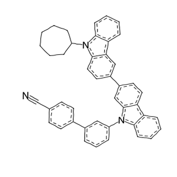 N#Cc1ccc(-c2cccc(-n3c4ccccc4c4ccc(-c5ccc6c(c5)c5ccccc5n6C5CCCCCC5)cc43)c2)cc1